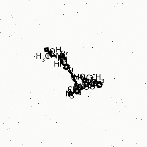 Cc1ncsc1-c1ccc(CNC(=O)[C@@H]2C[C@@H](O)CN2C(=O)[C@H](C(C)C)N2Cc3ccccc3C2=O)c(OCCCOCCCOc2ccc(Nc3ncc(Br)c(NCCCN(C)C(=O)C4CCC4)n3)cc2)c1